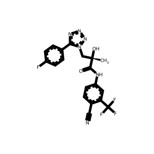 C[C@](O)(Cn1nnnc1-c1ccc(F)cc1)C(=O)Nc1ccc(C#N)c(C(F)(F)F)c1